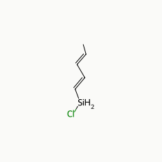 CC=CC=C[SiH2]Cl